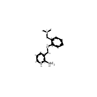 CN(C)Cc1ccccc1OCc1cccnc1N